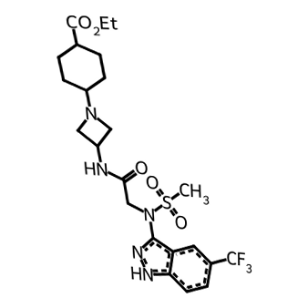 CCOC(=O)C1CCC(N2CC(NC(=O)CN(c3n[nH]c4ccc(C(F)(F)F)cc34)S(C)(=O)=O)C2)CC1